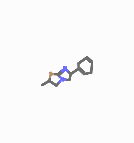 CC1CN2CC(C3=CCC=CC3)N=C2S1